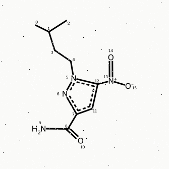 CC(C)CCn1nc(C(N)=O)cc1[N+](=O)[O-]